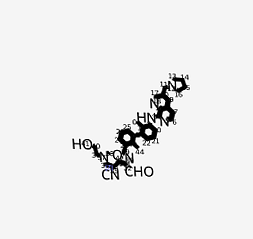 Cc1c(Nc2nccc3cc(CN4CCCC4)cnc23)cccc1-c1cccc(-c2nc(C=O)c(/C(C#N)=C\N(C)CCO)o2)c1C